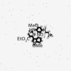 CCOC(=O)c1cnc(Nc2cc([N+](=O)[O-])c(N(C)CCN(C)C)cc2OC)nc1-c1cn(OC)c2ccccc12